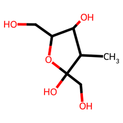 CC1C(O)C(CO)OC1(O)CO